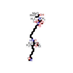 CCC(=O)OC(\C(C)=C/C=C\C=C\Cc1cnco1)C(C)(C)C(=O)NC\C=C/C=C/C=C/C=C/C(=O)N(O)C1(C(=O)N(C)C(C(C)OC)C(O)OC)COCO1